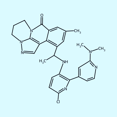 Cc1cc(C(C)Nc2ccc(Cl)nc2-c2ccnc(N(C)C)c2)c2c(c1)c(=O)n1c3c2cnn3CCC1